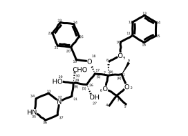 C[C@H]1OC(C)(C)O[C@@]1(COCc1ccccc1)[C@@H](OCc1ccccc1)[C@H](O)[C@@](O)(C=O)CN1CCNCC1